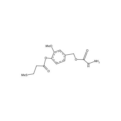 COc1cc(COC(=O)NN)ccc1OC(=O)CCSC